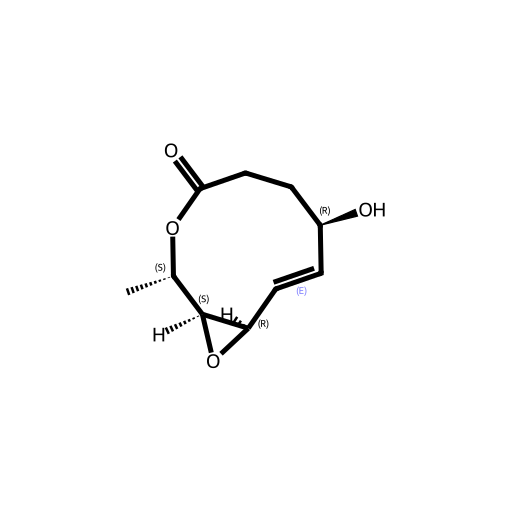 C[C@@H]1OC(=O)CC[C@@H](O)/C=C/[C@H]2O[C@@H]12